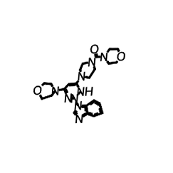 O=C(N1CCOCC1)N1CCN(C2=CC(N3CCOCC3)=NN(n3cnc4ccccc43)N2)CC1